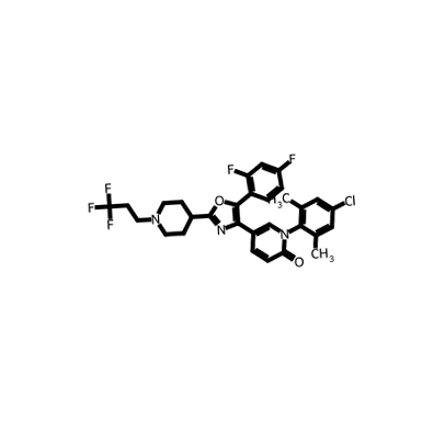 Cc1cc(Cl)cc(C)c1-n1cc(-c2nc(C3CCN(CCC(F)(F)F)CC3)oc2-c2ccc(F)cc2F)ccc1=O